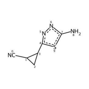 N#CC1CC1c1nnc(N)s1